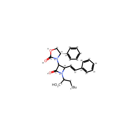 CC(C)(C)CC(C(=O)O)N1C(=O)C(N2C(=O)OC[C@@H]2c2ccccc2)C1C=Cc1ccccc1